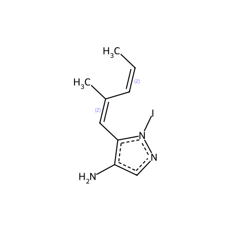 C/C=C\C(C)=C/c1c(N)cnn1I